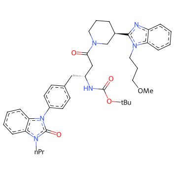 CCCn1c(=O)n(-c2ccc(C[C@H](CC(=O)N3CCC[C@@H](c4nc5ccccc5n4CCCOC)C3)NC(=O)OC(C)(C)C)cc2)c2ccccc21